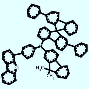 CC1(C)c2ccccc2-c2ccc(N(c3ccc(-c4cccc5c4oc4ccccc45)cc3)c3cccc4c3-c3ccc(-c5ccccc5)cc3C43c4ccccc4-c4ccc(-c5ccccc5)cc43)cc21